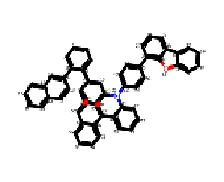 c1cc(-c2ccccc2-c2ccc3ccccc3c2)cc(N(c2ccc(-c3cccc4c3oc3ccccc34)cc2)c2ccccc2-c2cccc3ccccc23)c1